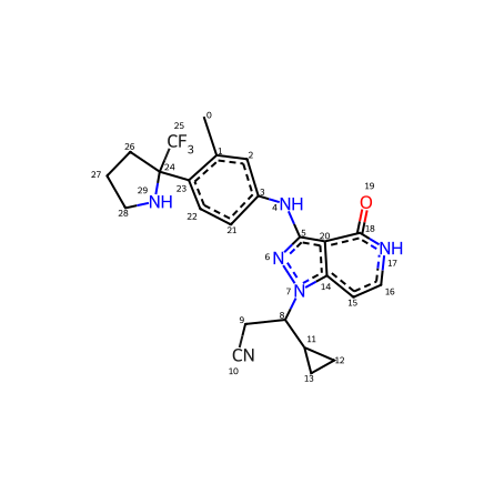 Cc1cc(Nc2nn(C(CC#N)C3CC3)c3cc[nH]c(=O)c23)ccc1C1(C(F)(F)F)CCCN1